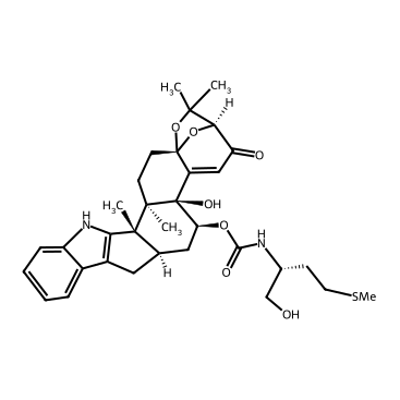 CSCC[C@H](CO)NC(=O)O[C@H]1C[C@H]2Cc3c([nH]c4ccccc34)[C@]2(C)[C@@]2(C)CC[C@@]34O[C@H](C(=O)C=C3[C@]12O)C(C)(C)O4